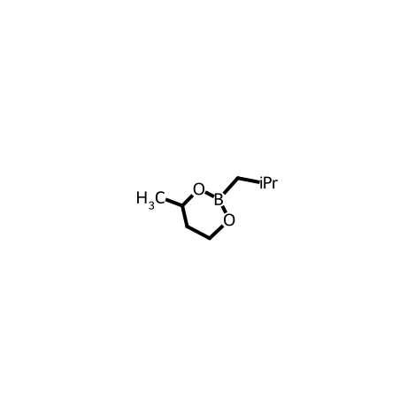 CC(C)CB1OCCC(C)O1